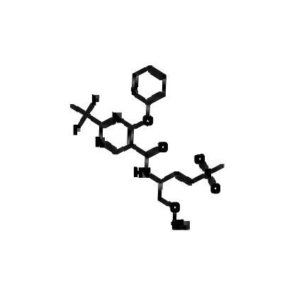 CC(C)(C)OCC(C=CS(C)(=O)=O)NC(=O)c1cnc(C(C)(F)F)nc1Oc1ccccc1